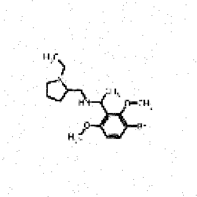 CCN1CCCC1CNC(C)c1c(OC)ccc(Br)c1OC